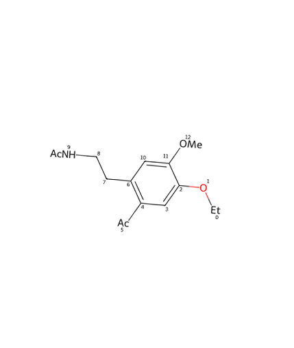 CCOc1cc(C(C)=O)c(CCNC(C)=O)cc1OC